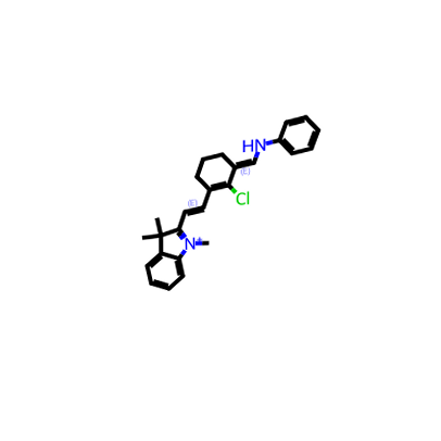 C[N+]1=C(/C=C/C2=C(Cl)C(=C/Nc3ccccc3)/CCC2)C(C)(C)c2ccccc21